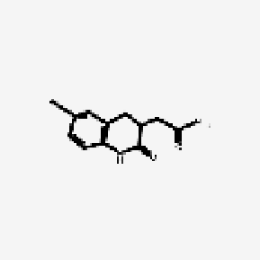 NC(=O)CC1Cc2cc(I)ccc2NC1=O